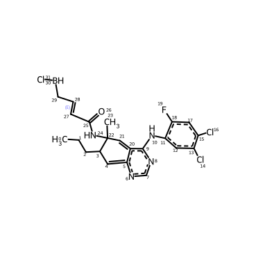 CCCC1C=c2ncnc(Nc3cc(Cl)c(Cl)cc3F)c2=CC1(C)NC(=O)/C=C/CBCl